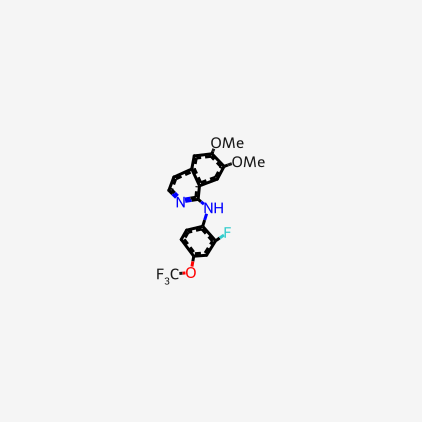 COc1cc2ccnc(Nc3ccc(OC(F)(F)F)cc3F)c2cc1OC